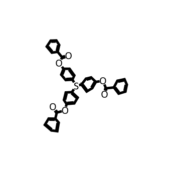 O=C(Oc1ccc([S+](c2ccc(OC(=O)c3ccccc3)cc2)c2ccc(OC(=O)c3ccccc3)cc2)cc1)c1ccccc1